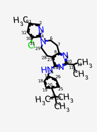 Cc1cnc(N2CCc3nc(C(C)C)nc(Nc4ccc(C(C)(C)C)cc4)c3CC2)c(Cl)c1